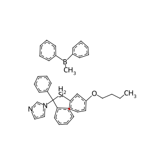 CB(c1ccccc1)c1ccccc1.CCCCOc1cccc([SiH2]C(c2ccccc2)(c2ccccc2)n2ccnc2)c1